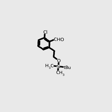 CC(C)(C)[Si](C)(C)OCCc1cccc(Cl)c1C=O